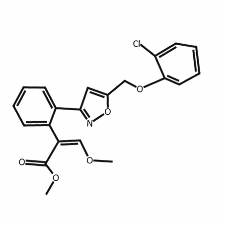 COC=C(C(=O)OC)c1ccccc1-c1cc(COc2ccccc2Cl)on1